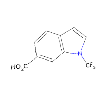 O=C(O)c1ccc2ccn(C(F)(F)F)c2c1